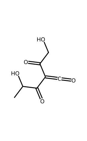 CC(O)C(=O)C(=C=O)C(=O)CO